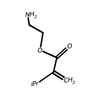 C=C(C(=O)OCCN)C(C)C